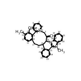 C=C1C[n+]2ccccc2-c2c(ccc(C)c2OC)CCC2c3ccccc3-c3n(C)c4ccccc4[n+]3C12